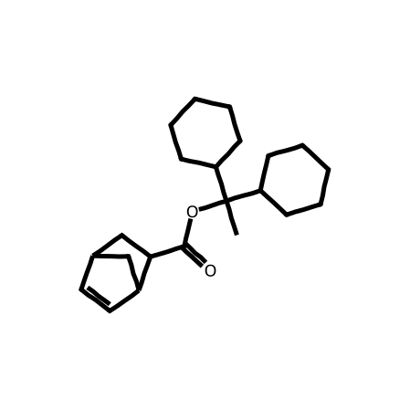 CC(OC(=O)C1CC2C=CC1C2)(C1CCCCC1)C1CCCCC1